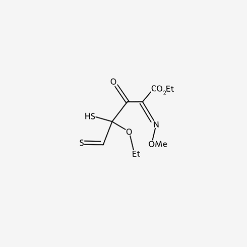 CCOC(=O)C(=NOC)C(=O)C(S)(C=S)OCC